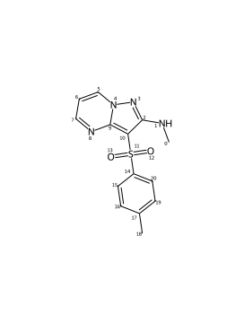 CNc1nn2cccnc2c1S(=O)(=O)c1ccc(C)cc1